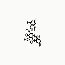 O=C(NCc1c(F)cc(F)cc1F)c1cn2c(c(O)c1=O)C(=O)N1C3CC(C[C@@H]3F)[C@H]1C2